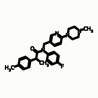 Cc1ccc(C(C)C(=O)N(Cc2ccc(N3CCN(C)CC3)nc2)c2ccc(F)cc2)cc1